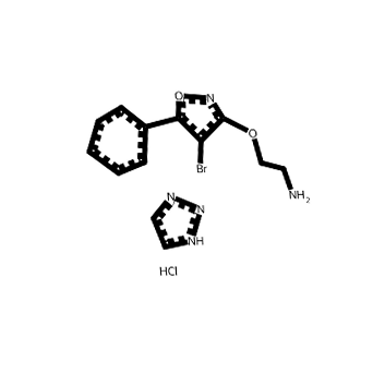 Cl.NCCOc1noc(-c2ccccc2)c1Br.c1c[nH]nn1